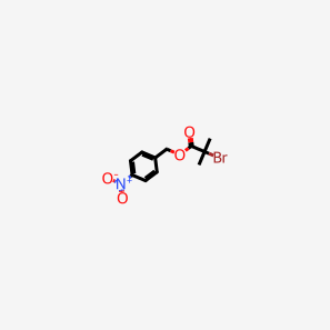 CC(C)(Br)C(=O)OCc1ccc([N+](=O)[O-])cc1